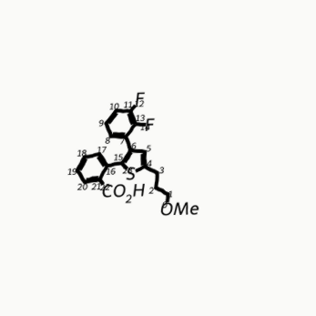 COCCCc1cc(-c2cccc(F)c2F)c(-c2ccccc2C(=O)O)s1